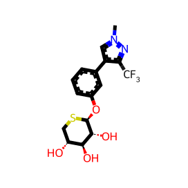 Cn1cc(-c2cccc(O[C@@H]3SC[C@@H](O)[C@H](O)[C@H]3O)c2)c(C(F)(F)F)n1